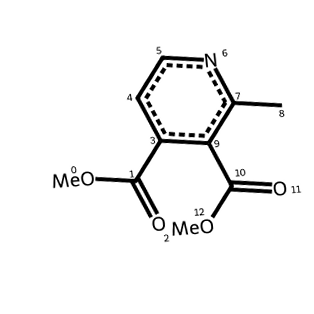 COC(=O)c1ccnc(C)c1C(=O)OC